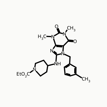 CCOC(=O)N1CCC(Nc2nc3c(c(=O)n(C)c(=O)n3C)n2Cc2cccc(C)c2)CC1